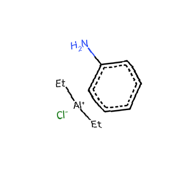 C[CH2][Al+][CH2]C.Nc1ccccc1.[Cl-]